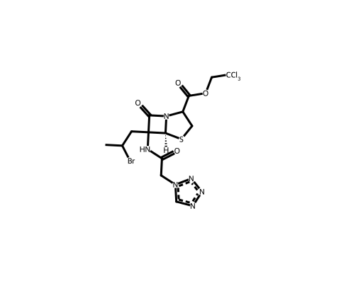 CC(Br)CC1(NC(=O)Cn2cnnn2)C(=O)N2C(C(=O)OCC(Cl)(Cl)Cl)CS[C@H]21